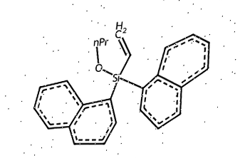 C=C[Si](OCCC)(c1cccc2ccccc12)c1cccc2ccccc12